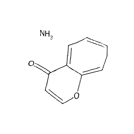 N.O=c1ccoc2ccccc12